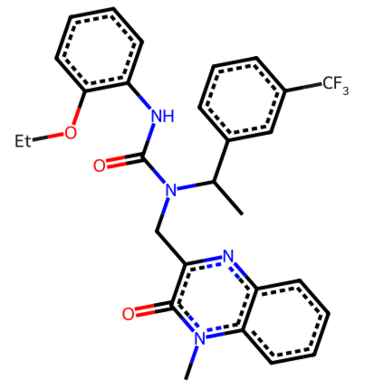 CCOc1ccccc1NC(=O)N(Cc1nc2ccccc2n(C)c1=O)C(C)c1cccc(C(F)(F)F)c1